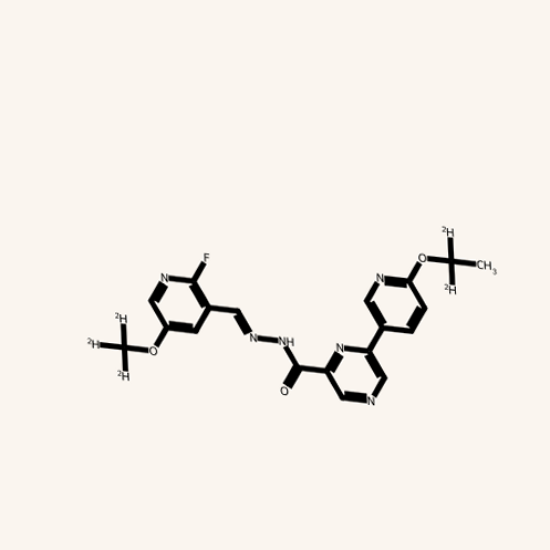 [2H]C([2H])([2H])Oc1cnc(F)c(/C=N/NC(=O)c2cncc(-c3ccc(OC([2H])([2H])C)nc3)n2)c1